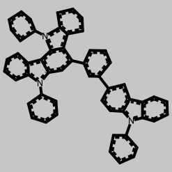 c1ccc(-n2c3ccccc3c3cc(-c4cccc(-c5cc6c(c7ccccc7n6-c6ccccc6)c6c5c5ccccc5n6-c5ccccc5)c4)ccc32)cc1